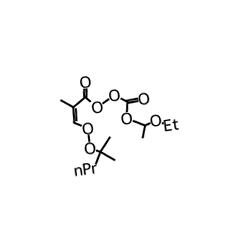 CCCC(C)(C)OOC=C(C)C(=O)OOC(=O)OC(C)OCC